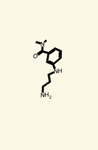 CN(C)C(=O)c1cccc(NCCCN)c1